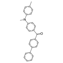 Cc1ccc(N(C)c2ccc(C(=O)c3ccc(-c4ccccc4)cc3)cc2)cc1